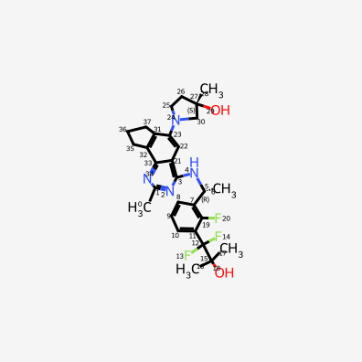 Cc1nc(N[C@H](C)c2cccc(C(F)(F)C(C)(C)O)c2F)c2cc(N3CC[C@](C)(O)C3)c3c(c2n1)CCC3